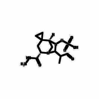 CC(C=O)C1N2C[C@H](N1OS(=O)(=O)O)C1(CC1)C[C@H]2C(=O)NN